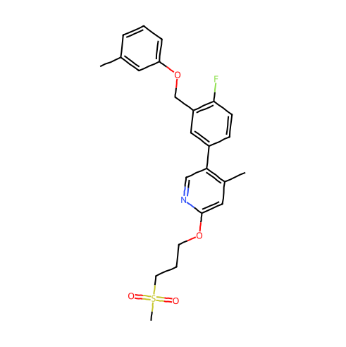 Cc1cccc(OCc2cc(-c3cnc(OCCCS(C)(=O)=O)cc3C)ccc2F)c1